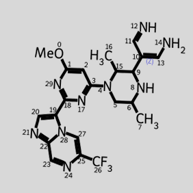 COc1cc(N2CC(C)NC(/C(C=N)=C/N)C2C)nc(-c2cnc3cnc(C(F)(F)F)cn23)n1